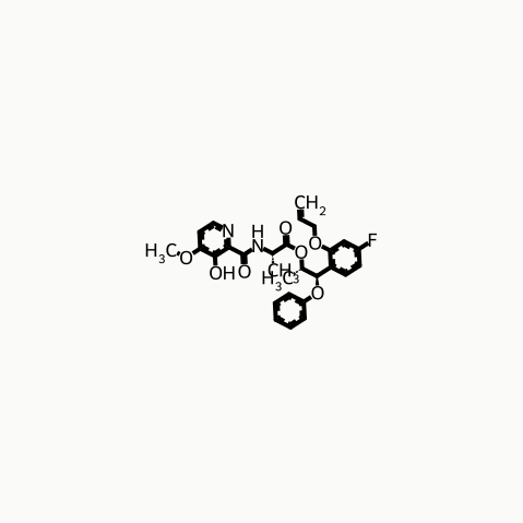 C=CCOc1cc(F)ccc1[C@@H](Oc1ccccc1)[C@H](C)OC(=O)[C@H](C)NC(=O)c1nccc(OC)c1O